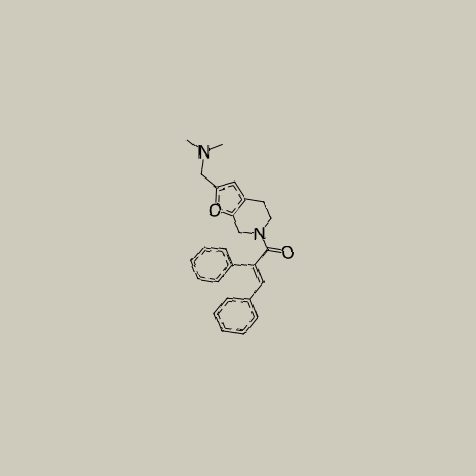 CN(C)Cc1cc2c(o1)CN(C(=O)/C(=C/c1ccccc1)c1ccccc1)CC2